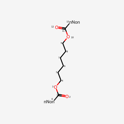 CCCCCCCCCC(=O)OCCCCCCOC(=O)CCCCCCCCC